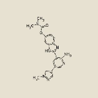 CN(C)C(=O)Oc1ccc2nc(-c3cc(-c4cnn(C)c4)cnc3N)[nH]c2c1